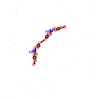 O=C(Oc1ccc(OCC2CO2)cc1)c1cc(C(=O)Oc2ccc(OCCCCOc3ccc(OC(=O)c4cc(C(=O)Oc5ccc(OCC6CO6)cc5)[nH]n4)cc3)cc2)[nH]n1